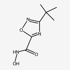 CC(C)(C)c1noc(C(=O)NO)n1